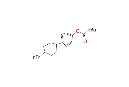 CCCCC(=O)Oc1ccc(C2CCC(CCC)CC2)cc1